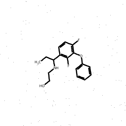 CCC(NCCO)c1ccc(F)c(Oc2ccccc2)c1F